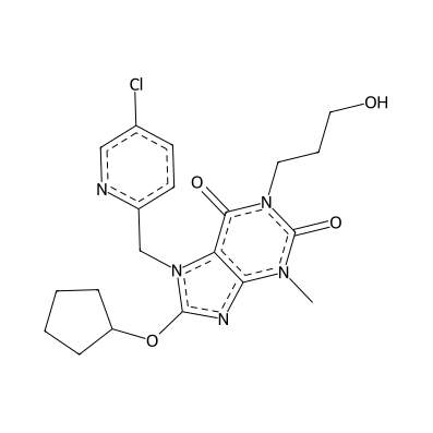 Cn1c(=O)n(CCCO)c(=O)c2c1nc(OC1CCCC1)n2Cc1ccc(Cl)cn1